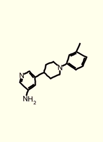 Cc1cccc(N2CCC(c3cncc(N)c3)CC2)c1